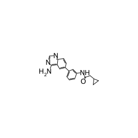 Nc1ncnc2ccc(-c3cccc(NC(=O)CC4CC4)c3)cc12